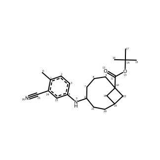 Cc1ccc(NC2CCCC3(C(=O)OC(C)(C)C)CC(CC2)C3)cc1C#N